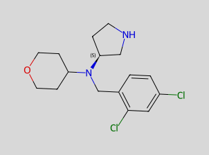 Clc1ccc(CN(C2CCOCC2)[C@H]2CCNC2)c(Cl)c1